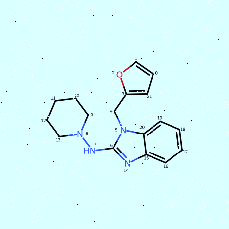 c1coc(Cn2c(NN3CCCCC3)nc3ccccc32)c1